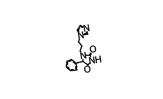 O=C1NC(=O)N(CCCn2ccnc2)C1c1ccccc1